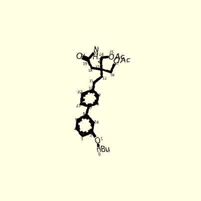 CCCCOc1cccc(-c2ccc(CCC(COC(C)=O)(COC(C)=O)CC(N)=O)cc2)c1